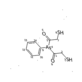 O=C(CS)[As](C(=O)CS)c1ccccc1